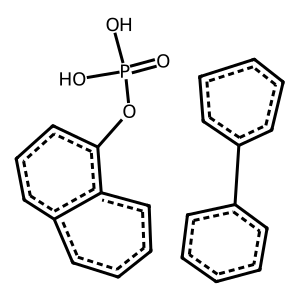 O=P(O)(O)Oc1cccc2ccccc12.c1ccc(-c2ccccc2)cc1